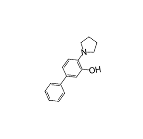 Oc1cc(-c2ccccc2)ccc1N1CCCC1